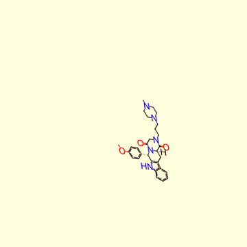 COc1ccc([C@H]2c3[nH]c4ccccc4c3C[C@@H]3C(=O)N(CCCN4CCN(C)CC4)CC(=O)N23)cc1